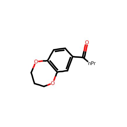 CCCC(=O)c1ccc2c(c1)OCCCO2